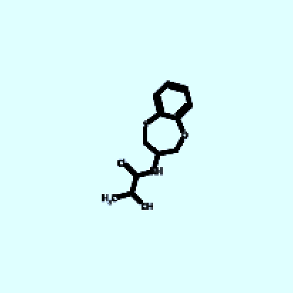 CC(O)C(Cl)NC1COc2ccccc2SC1